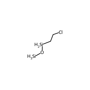 [SiH3]O[SiH2]CCCl